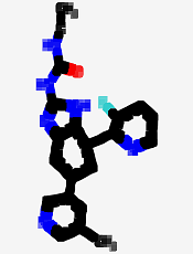 CCNC(=O)Nc1nc2cc(-c3cncc(C)c3)cc(-c3ncccc3F)c2[nH]1